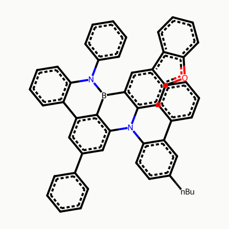 CCCCc1ccc(N2c3cc4oc5ccccc5c4cc3B3c4c(cc(-c5ccccc5)cc42)-c2ccccc2N3c2ccccc2)c(-c2ccccc2)c1